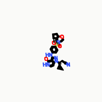 N#CC[C@@H](C1CC1)n1nc(Nc2ccc(S(=O)(=O)N3CCOC4CCC[C@@H]43)cc2)c2c(=O)[nH]ccc21